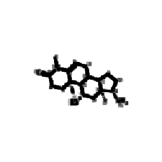 CN1C(=O)CC[C@@]2(C)C1=CCC1C2[C@@H](O)C[C@@]2(C)C1CC[C@@H]2N